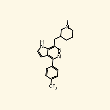 CN1CCCC(Cc2nnc(-c3ccc(C(F)(F)F)cc3)c3cc[nH]c23)C1